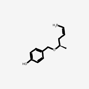 B/C=C\C[C@@H](C)OCc1ccc(O)cc1